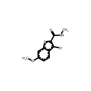 CNC(=O)c1sc2cc(OC)ccc2c1Cl